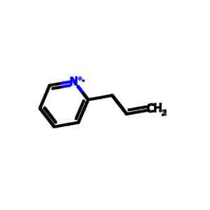 C=CCC1=CC=CC=[N+]1